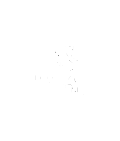 CCOC(=O)[C@H](C)C(C)Oc1cc(/C=C/C2=C(C#N)C(=C(C#N)C#N)OC2(C)C)ccc1N